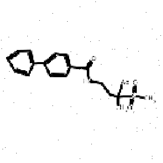 CC(=O)C(C)(CCNC(=O)c1ccc(-c2ccccc2)cc1)S(C)(=O)=O